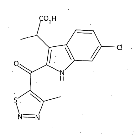 Cc1nnsc1C(=O)c1[nH]c2cc(Cl)ccc2c1C(C)C(=O)O